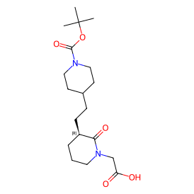 CC(C)(C)OC(=O)N1CCC(CC[C@@H]2CCCN(CC(=O)O)C2=O)CC1